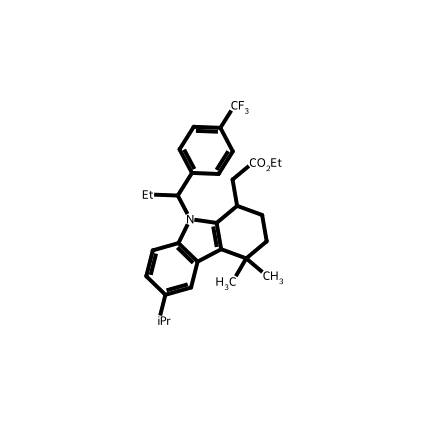 CCOC(=O)CC1CCC(C)(C)c2c1n(C(CC)c1ccc(C(F)(F)F)cc1)c1ccc(C(C)C)cc21